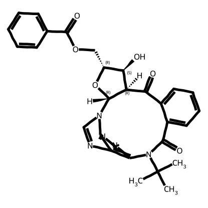 CC(C)(C)N1C(=O)c2ccccc2C(=O)[C@@H]2[C@H](O)[C@@H](COC(=O)c3ccccc3)O[C@H]2n2cnc3c1ncnc32